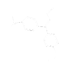 C=CC=C(c1ccc(OCCC)cc1)c1ccc(N(C)C)cc1